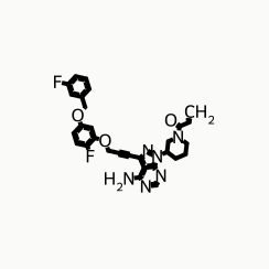 C=CC(=O)N1CCCC(n2nc(C#CCOc3cc(OCc4cccc(F)c4)ccc3F)c3c(N)ncnc32)C1